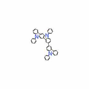 c1ccc(-n2c3ccccc3c3cc(-c4ccc5c(c4)c4cc6c(cc4n5-c4ccccc4)c4ccccc4n6-c4ccccc4)ccc32)cc1